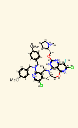 COc1ccc(CN(Cc2ccc(OC)cc2)c2ncc(Cl)cc2[C@@H](C)N2c3nc(OC[C@@H]4CCCN4C)nc4c(F)c(Cl)nc(c34)OC[C@@H]2C)cc1